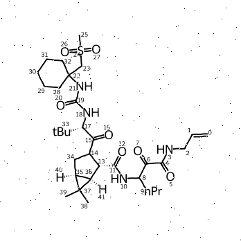 C=CCNC(=O)C(=O)C(CCC)NC(=O)[C@H]1C(C(=O)[C@@H](NC(=O)NC2(CS(C)(=O)=O)CCCCC2)C(C)(C)C)C[C@H]2[C@@H]1C2(C)C